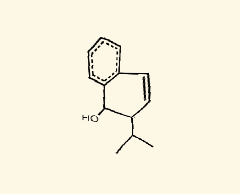 CC(C)[C]1C=Cc2ccccc2C1O